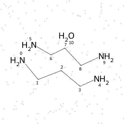 NCCCN.NCCCN.O